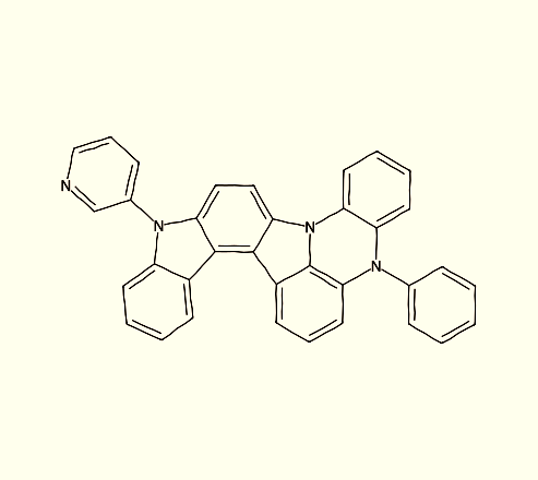 c1ccc(N2c3ccccc3-n3c4ccc5c(c6ccccc6n5-c5cccnc5)c4c4cccc2c43)cc1